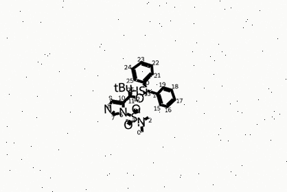 CN(C)S(=O)(=O)n1cncc1C(O[SiH](c1ccccc1)c1ccccc1)C(C)(C)C